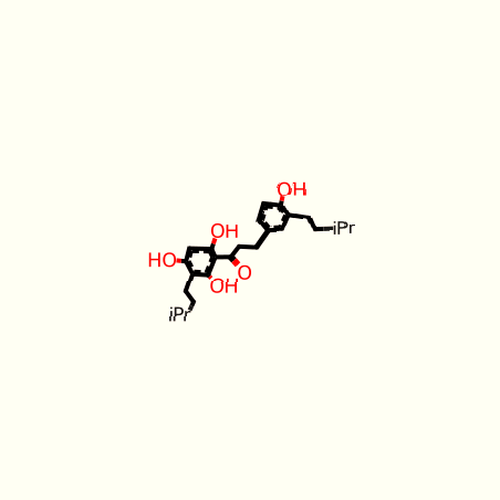 CC(C)CCc1cc(CCC(=O)c2c(O)cc(O)c(CCC(C)C)c2O)ccc1O